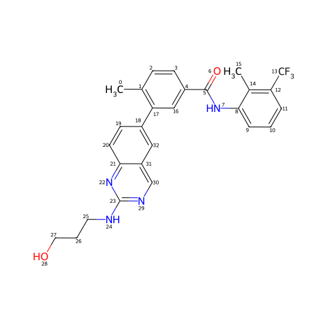 Cc1ccc(C(=O)Nc2cccc(C(F)(F)F)c2C)cc1-c1ccc2nc(NCCCO)ncc2c1